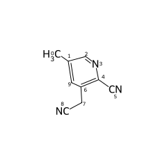 Cc1cnc(C#N)c(CC#N)c1